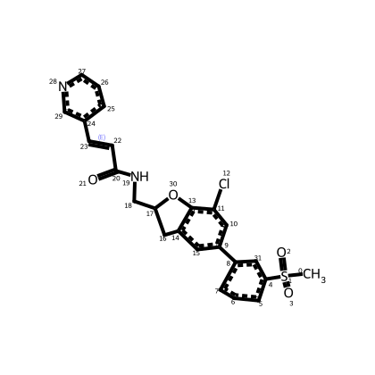 CS(=O)(=O)c1cccc(-c2cc(Cl)c3c(c2)CC(CNC(=O)/C=C/c2cccnc2)O3)c1